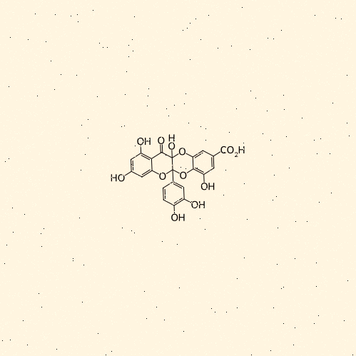 O=C(O)c1cc(O)c2c(c1)OC1(O)C(=O)c3c(O)cc(O)cc3OC1(c1ccc(O)c(O)c1)O2